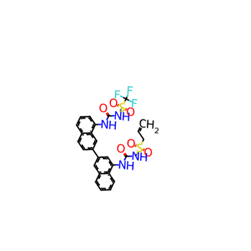 C=CCS(=O)(=O)NC(=O)Nc1cc(-c2ccc3cccc(NC(=O)NS(=O)(=O)C(F)(F)F)c3c2)cc2ccccc12